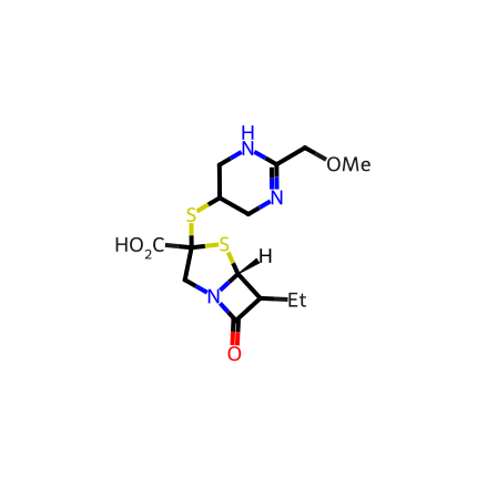 CCC1C(=O)N2CC(SC3CN=C(COC)NC3)(C(=O)O)S[C@H]12